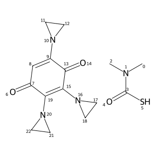 CN(C)C(=O)S.O=C1C=C(N2CC2)C(=O)C(N2CC2)=C1N1CC1